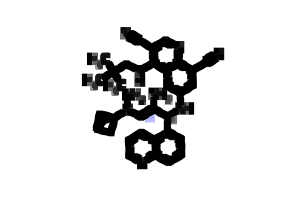 CC(C)(C)CNc1c(C#N)cnc2c(C#N)cc(N[C@H](/C(N)=C/N(N)C34CC(C3)C4)c3cccc4ncccc34)cc12